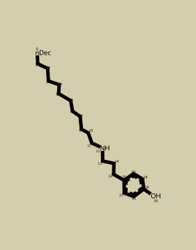 CCCCCCCCCCCCCCCCCCCCCNCCCc1ccc(O)cc1